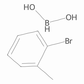 Cc1ccccc1Br.OBO